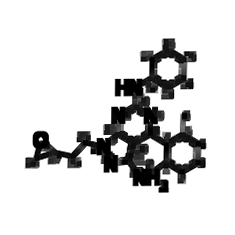 Cc1cccc(C)c1-c1nc(Nc2ccccc2)nc2c1c(N)nn2CCC1CO1